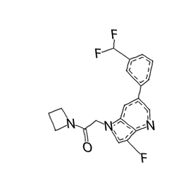 O=C(Cn1cc(F)c2ncc(-c3cccc(C(F)F)c3)cc21)N1CCC1